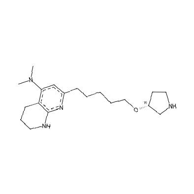 CN(C)c1cc(CCCCCO[C@@H]2CCNC2)nc2c1CCCN2